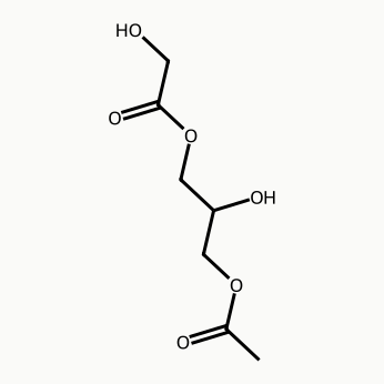 CC(=O)OCC(O)COC(=O)CO